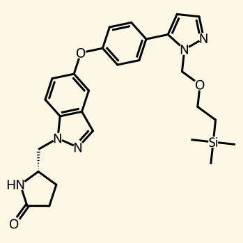 C[Si](C)(C)CCOCn1nccc1-c1ccc(Oc2ccc3c(cnn3C[C@@H]3CCC(=O)N3)c2)cc1